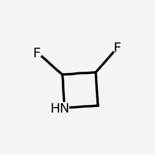 FC1CNC1F